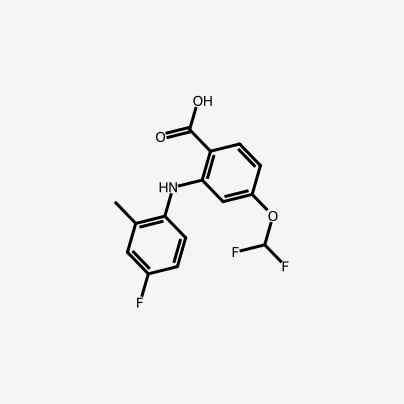 Cc1cc(F)ccc1Nc1cc(OC(F)F)ccc1C(=O)O